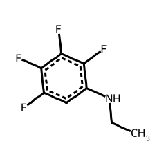 CCNc1cc(F)c(F)c(F)c1F